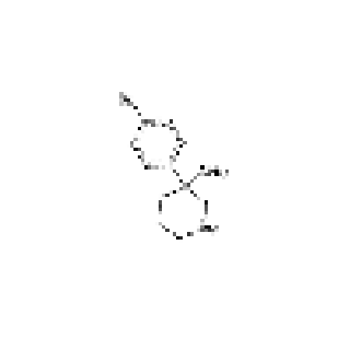 O=CC1(c2ccc(Br)cc2)CCCNC1